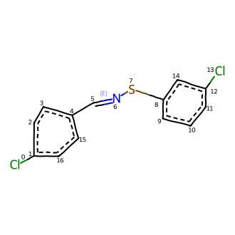 Clc1ccc(/C=N/Sc2cccc(Cl)c2)cc1